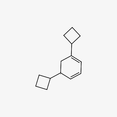 C1=C[C](C2CCC2)CC(C2CCC2)=C1